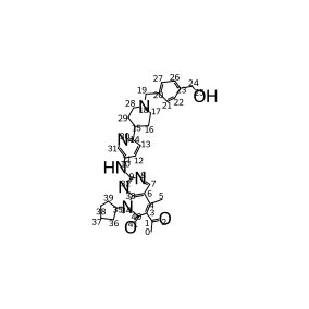 CC(=O)c1c(C)c2cnc(Nc3ccc(C4CCN(Cc5ccc(CO)cc5)CC4)nc3)nc2n(C2CCCC2)c1=O